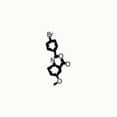 COc1ccc2nc(-c3ccc(Br)cc3)oc(=O)c2c1